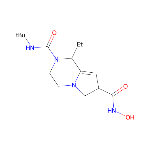 CCC1C2=CC(C(=O)NO)CN2CCN1C(=O)NC(C)(C)C